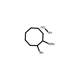 CCC(C)C1CCCCCCC1NC.CCCO